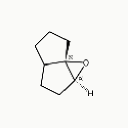 C1CC2CC[C@@H]3O[C@@]23C1